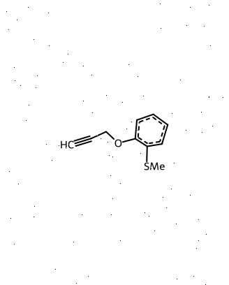 C#CCOc1ccccc1SC